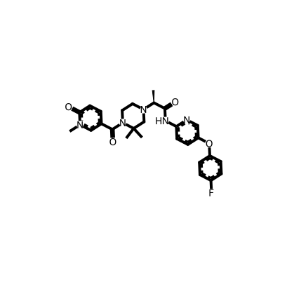 C[C@@H](C(=O)Nc1ccc(Oc2ccc(F)cc2)cn1)N1CCN(C(=O)c2ccc(=O)n(C)c2)C(C)(C)C1